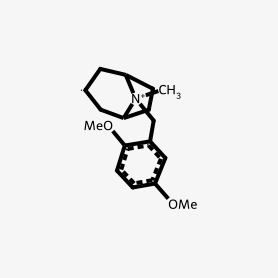 COc1ccc(OC)c(C[N+]2(C)C3C[CH]CC2CC3)c1